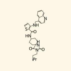 CC(C)CCN1C(=O)NC2(CCC(NC(=O)c3sccc3NCc3ccnc4ccccc34)CC2)C1=O